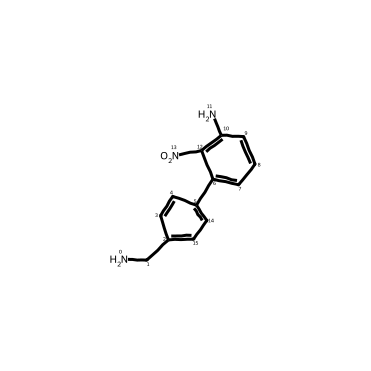 NCc1ccc(-c2cccc(N)c2[N+](=O)[O-])cc1